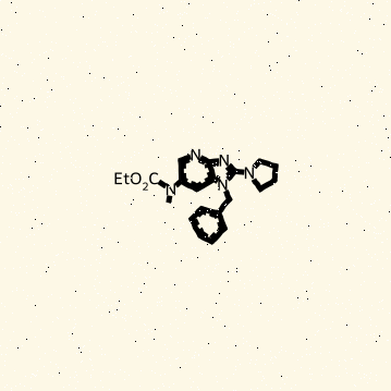 CCOC(=O)N(C)c1cnc2nc(N3CCCC3)n(Cc3ccccc3)c2c1